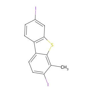 Cc1c(I)ccc2c1sc1cc(I)ccc12